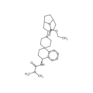 CCOC(=O)N1C2CCC(N3CCC4(CC[C@H](NC(=O)N(C)C)c5ccccc54)CC3)CC1CC2